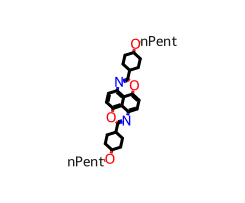 CCCCCOC1CCC(C2=Nc3ccc4c5c(ccc(c35)O2)N=C(C2CCC(OCCCCC)CC2)O4)CC1